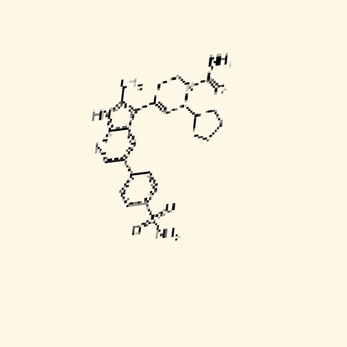 Cc1[nH]c2ncc(-c3ccc(S(N)(=O)=O)cc3)cc2c1C1=CC(C2CCCC2)N(C(N)=O)CC1